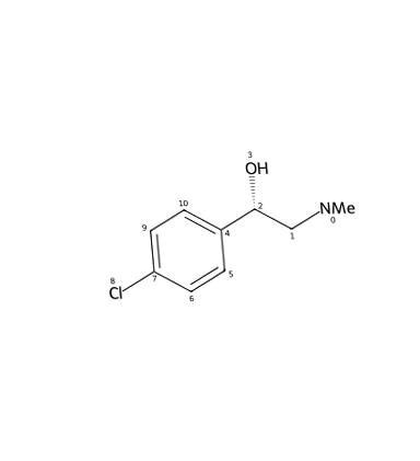 CNC[C@@H](O)c1ccc(Cl)cc1